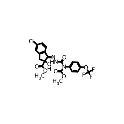 COC(=O)N(C(=O)NN=C1c2ccc(Cl)cc2CC1(O)C(=O)OC)c1ccc(OC(F)(F)F)cc1